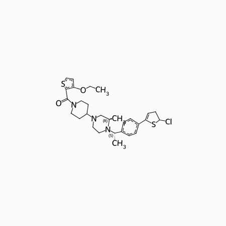 CCOc1ccsc1C(=O)N1CCC(N2CCN([C@@H](C)c3ccc(C4=CCC(Cl)S4)cc3)[C@H](C)C2)CC1